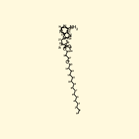 CCCCCCCCCCCCCCCCOCCCO[P@](=S)(OC)[C@H](C)Cn1cnc2c(N)ncnc21